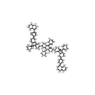 c1ccc(-c2c3ccc(-c4ccc5c(c4)c4cc(-c6ccc(-c7cccc8ccccc78)cc6)ccc4n5-c4ccccc4)cc3c(-c3ccccc3)c3ccc(-c4ccc5c(c4)c4cc(-c6ccc(-c7cccc8ccccc78)cc6)ccc4n5-c4ccccc4)cc23)cc1